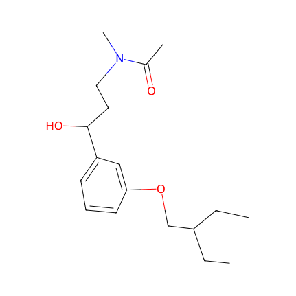 CCC(CC)COc1cccc(C(O)CCN(C)C(C)=O)c1